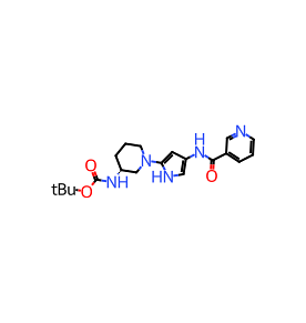 CC(C)(C)OC(=O)N[C@@H]1CCCN(c2cc(NC(=O)c3cccnc3)c[nH]2)C1